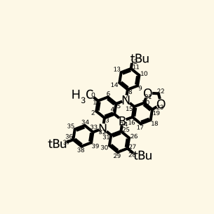 Cc1cc2c3c(c1)N(c1ccc(C(C)(C)C)cc1)c1c(ccc4c1OCO4)B3c1cc(C(C)(C)C)ccc1N2c1ccc(C(C)(C)C)cc1